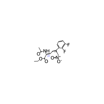 CCOC(=O)/C(=C/C[C@H](C[N+](=O)[O-])c1cccc(F)c1F)NC(C)=O